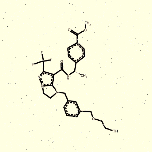 COC(=O)c1ccc([C@H](C)NC(=O)c2c(C(F)(F)F)nn3c2N(Cc2cccc(COCCO)c2)CC3)cc1